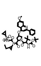 CCC1CC1N(C(=O)NS(=O)(=O)C1CC1)C(=O)C1CC(Oc2cc(-c3ccccc3)nc3cc(OC)ccc23)CN1C(=O)C(NC(=O)OC(C)(C)C)C(C)(C)C